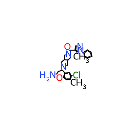 Cc1ccc(C(CC(N)=O)N2CC3CN(C(=O)c4cnn(-c5ccccc5)c4C)CC3C2)cc1Cl